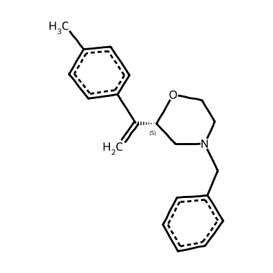 C=C(c1ccc(C)cc1)[C@H]1CN(Cc2ccccc2)CCO1